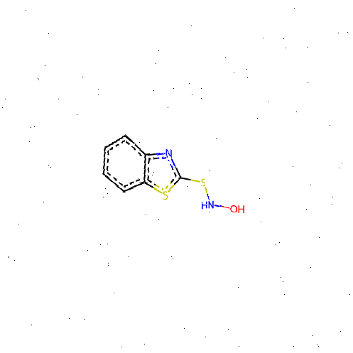 ONSc1nc2ccccc2s1